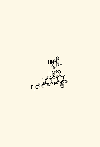 O=C1NC[C@@H](C(=O)N[C@H](c2ccc(OCC(F)(F)F)nn2)c2ccc(F)c(Cl)c2F)N1